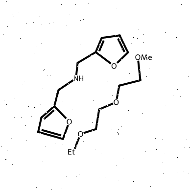 CCOCCOCCOC.c1coc(CNCc2ccco2)c1